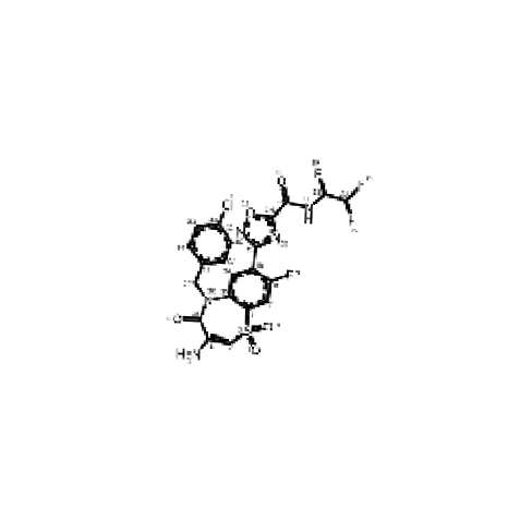 NC1=CS(=O)(=O)c2cc(F)c(-c3noc(C(=O)NC(F)C(F)F)n3)cc2N(Cc2ccc(Cl)cc2)C1=O